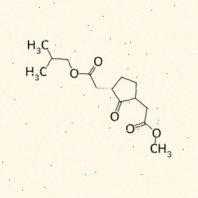 COC(=O)CC1CC[C@@H](CC(=O)OCC(C)C)C1=O